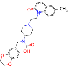 Cc1ccc2c(ccc(=O)n2CCN2CCC(N(Cc3ccc4c(c3)OCCO4)C(=O)O)CC2)c1